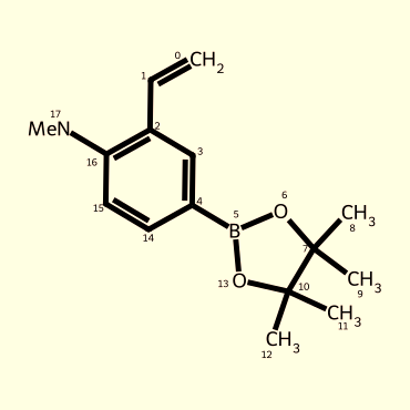 C=Cc1cc(B2OC(C)(C)C(C)(C)O2)ccc1NC